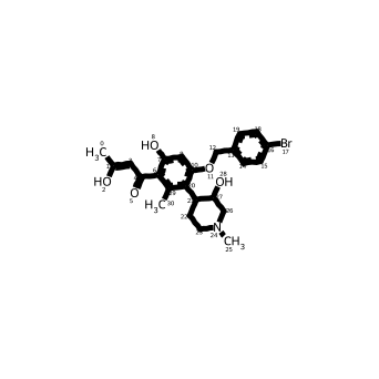 C/C(O)=C/C(=O)c1c(O)cc(OCc2ccc(Br)cc2)c(C2CCN(C)CC2O)c1C